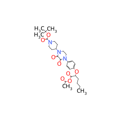 CCCCC(Oc1ccc(N2CCN(C3CCN(C(=O)OC(C)(C)C)CC3)C(=O)C2=O)cc1)C(=O)OC(C)=O